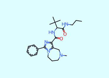 CCCNC(=O)C(NC(=O)c1nc(-c2ccccc2)n2c1CN(C)CCC2)C(C)(C)C